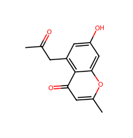 CC(=O)Cc1cc(O)cc2oc(C)cc(=O)c12